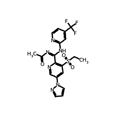 CCS(=O)(=O)c1cc(-n2cccn2)cnc1C(=NC(C)=O)Nc1cc(C(F)(F)F)ccn1